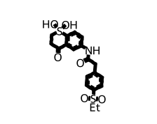 CCS(=O)(=O)c1ccc(CC(=O)Nc2ccc3c(c2)C(=O)CCS3(O)O)cc1